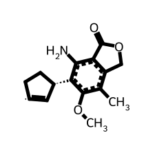 COc1c(C)c2c(c(N)c1[C@@H]1C=[C]CC1)C(=O)OC2